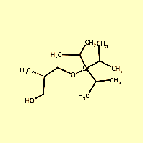 CC(C)[Si](OC[C@@H](C)CO)(C(C)C)C(C)C